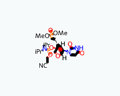 COP(=O)(/C=C/[C@@]12O[C@@H](n3ccc(=O)[nH]c3=O)[C@H]3C[C@@H]1[C@]2(OP(OCCC#N)N(C(C)C)C(C)C)CO3)OC